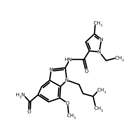 CCn1nc(C)cc1C(=O)Nc1nc2cc(C(N)=O)cc(OC)c2n1CCC(C)C